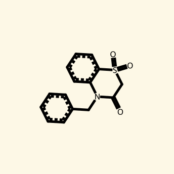 O=C1CS(=O)(=O)c2ccccc2N1Cc1ccccc1